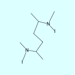 CC(CCC(C)N(C)I)N(C)I